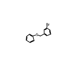 Brc1cccc(CSc2ccccc2)c1